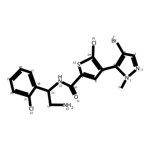 Cn1ncc(Br)c1-c1cc(C(=O)NC(CN)c2ccccc2Cl)sc1Cl